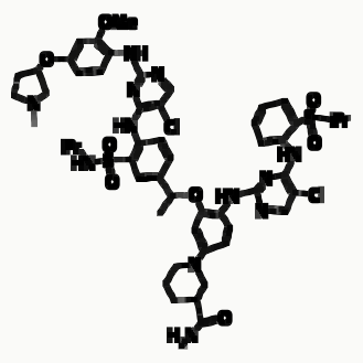 COc1cc(OC2CCN(C)C2)ccc1Nc1ncc(Cl)c(Nc2ccc(C(C)Oc3cc(N4CCCC(C(N)=O)C4)ccc3Nc3ncc(Cl)c(Nc4ccccc4S(=O)(=O)C(C)C)n3)cc2S(=O)(=O)NC(C)C)n1